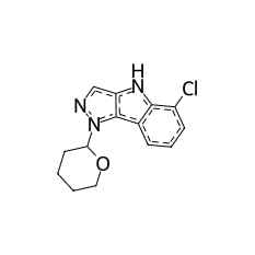 Clc1cccc2c1[nH]c1cnn(C3CCCCO3)c12